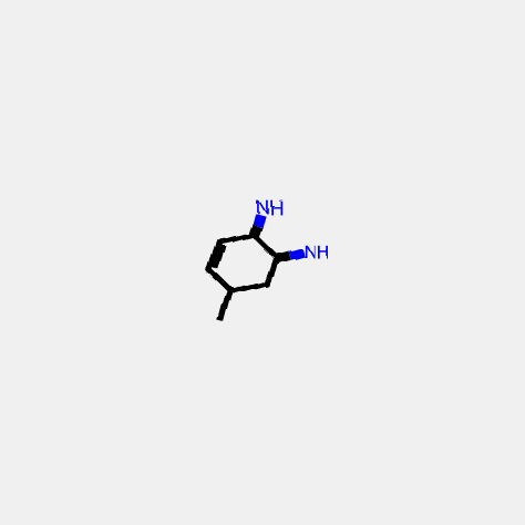 CC1C=CC(=N)C(=N)C1